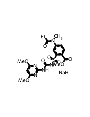 CCC(=O)N(C)c1ccc(C(=O)OC)c(S(=O)(=O)NC(=O)Nc2nc(OC)cc(OC)n2)c1.[NaH]